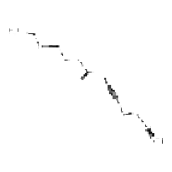 C#CCCC#COC(=O)CCCOCC